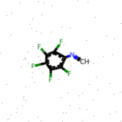 [CH]=Nc1c(F)c(F)c(F)c(F)c1F